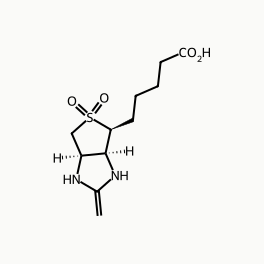 C=C1N[C@H]2[C@H](CS(=O)(=O)[C@H]2CCCCC(=O)O)N1